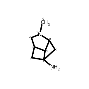 CN1CC2CC3(N)CC1C23